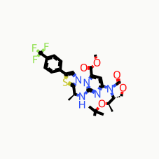 COC(=O)c1cc(N2C(=O)OC[C@@H]2[C@@H](C)OC(C)(C)C)nc(N[C@@H](C)c2ncc(-c3ccc(C(F)(F)F)cc3)s2)n1